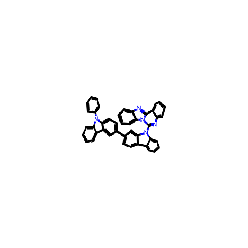 c1ccc(-n2c3ccccc3c3cc(-c4ccc5c6ccccc6n(-c6nc7ccccc7c7nc8ccccc8n67)c5c4)ccc32)cc1